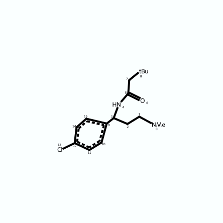 CNCCC(NC(=O)CC(C)(C)C)c1ccc(Cl)cc1